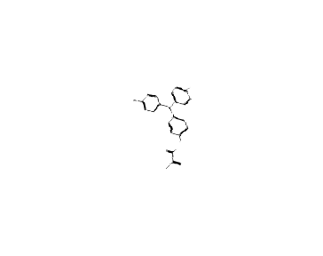 C=C(C)C(=O)Oc1ccc(C(c2ccc(Cl)cc2)c2ccc(Cl)cc2)cc1